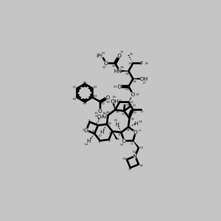 CC(=O)O[C@@]12CO[C@@H]1CC[C@@]1(C)[C@@H]3O[C@H](CN4CCC4)O[C@@H]3C3=C(C)[C@@H](OC(=O)[C@H](O)[C@@H](NC(=O)OC(C)C)[C@H](C)F)C[C@@](O)([C@@H](OC(=O)c4ccccc4)[C@@H]12)C3(C)C